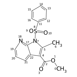 COC(=O)c1c(C)n(S(=O)(=O)c2ccccc2)c2ncccc12